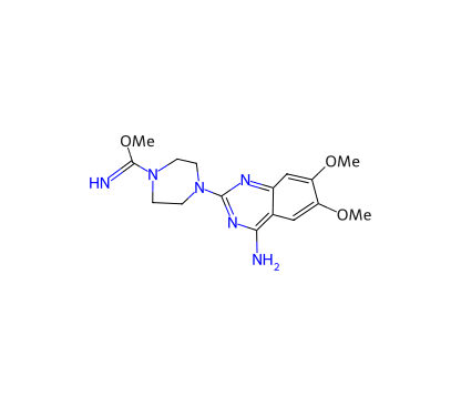 COC(=N)N1CCN(c2nc(N)c3cc(OC)c(OC)cc3n2)CC1